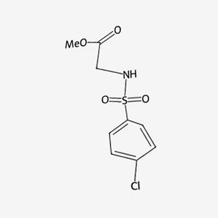 COC(=O)CNS(=O)(=O)c1ccc(Cl)cc1